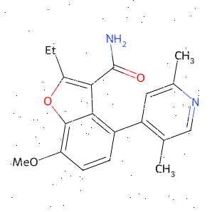 CCc1oc2c(OC)ccc(-c3cc(C)ncc3C)c2c1C(N)=O